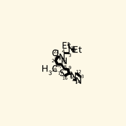 CCN(CC)CCn1nc(-c2cc(-n3ccnc3)cs2)c(C)cc1=O